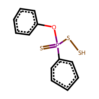 S=P(Oc1ccccc1)(SS)c1ccccc1